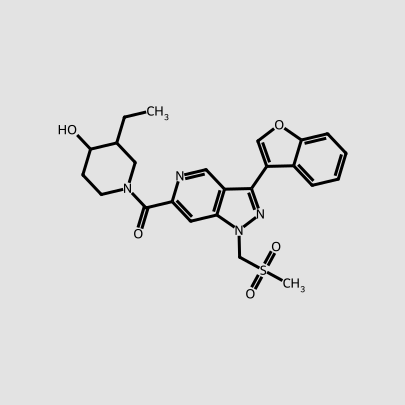 CCC1CN(C(=O)c2cc3c(cn2)c(-c2coc4ccccc24)nn3CS(C)(=O)=O)CCC1O